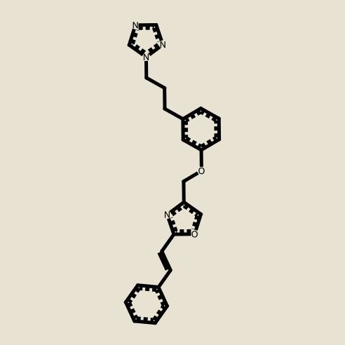 C(=C\c1nc(COc2cccc(CCCn3cncn3)c2)co1)/c1ccccc1